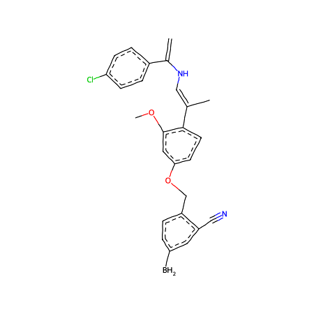 Bc1ccc(COc2ccc(/C(C)=C/NC(=C)c3ccc(Cl)cc3)c(OC)c2)c(C#N)c1